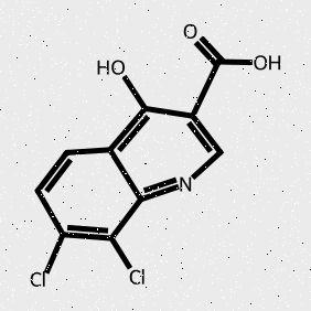 O=C(O)c1cnc2c(Cl)c(Cl)ccc2c1O